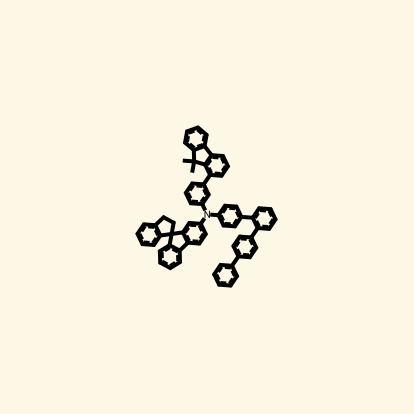 CC1(C)c2ccccc2-c2cccc(-c3cccc(N(c4ccc(-c5ccccc5-c5ccc(-c6ccccc6)cc5)cc4)c4ccc5c(c4)C4(CCc6ccccc64)c4ccccc4-5)c3)c21